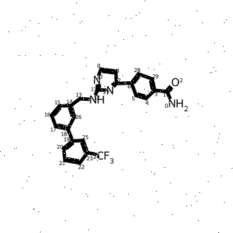 NC(=O)c1ccc(-c2ccnc(NCc3cccc(-c4cccc(C(F)(F)F)c4)c3)n2)cc1